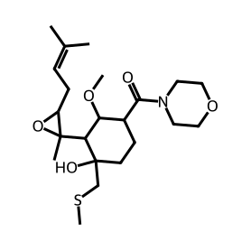 COC1C(C(=O)N2CCOCC2)CCC(O)(CSC)C1C1(C)OC1CC=C(C)C